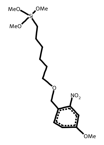 COc1ccc(COCCCCCC[Si](OC)(OC)OC)c([N+](=O)[O-])c1